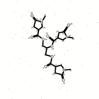 CN1CC(C(=O)OCC(COC(=O)C2CC(=O)N(C)C2)OC(=O)C2CC(=O)N(C)C2)CC1=O